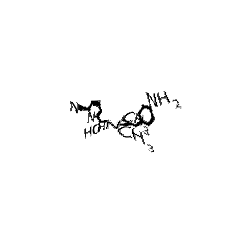 CC(C)(CC1CCC(N)CC1)NC[C@@H](O)c1cccc(C#N)n1